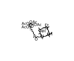 C=Cc1c(C)c2cc3nc(c(C)c4cc(C)c(cc5nc(cc1[nH]2)C(C)=C5CC)[nH]4)[C@@H](CCC(=O)N(C)CCCCCS[C@@H]1O[C@H](COC(C)=O)[C@@H](OC(C)=O)[C@H](OC(C)=O)[C@H]1OC(C)=O)[C@@H]3C